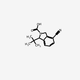 CC(C)(C)C1c2cccc(C#N)c2CN1C(=O)O